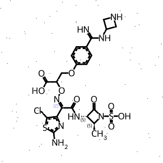 C[C@H]1[C@H](NC(=O)/C(=N\OC(COc2ccc(C(=N)NC3CNC3)cc2)C(=O)O)c2nc(N)sc2Cl)C(=O)N1S(=O)(=O)O